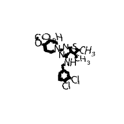 Cc1sc2nc(N3CCC(OC(=O)O)CC3)nc(NCc3ccc(Cl)c(Cl)c3)c2c1C